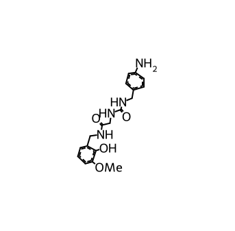 COc1cccc(CNC(=O)CNC(=O)NCc2ccc(N)cc2)c1O